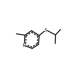 Cc1cc(SC(C)C)ccn1